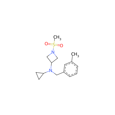 Cc1cccc(CN(C2CC2)C2CN(S(C)(=O)=O)C2)c1